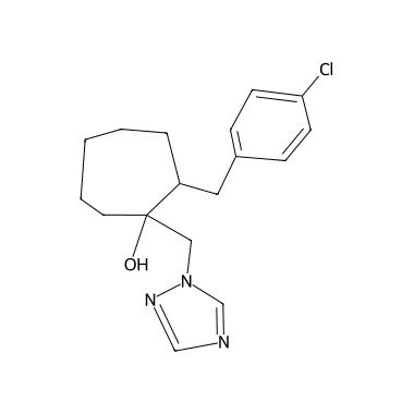 OC1(Cn2cncn2)CCCCCC1Cc1ccc(Cl)cc1